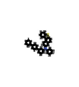 c1ccc(-c2ccc(-c3cccc(N(c4ccccc4)c4ccc5c(ccc6sc7ccccc7c65)c4)c3)cc2)cc1